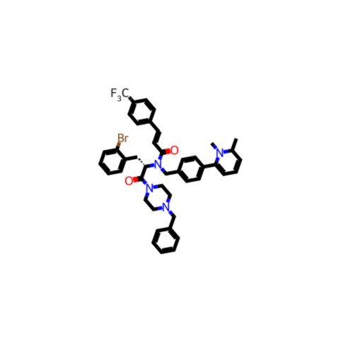 CC1C=CC=C(c2ccc(CN(C(=O)/C=C/c3ccc(C(F)(F)F)cc3)[C@@H](Cc3ccccc3Br)C(=O)N3CCN(Cc4ccccc4)CC3)cc2)N1C